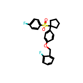 O=S(=O)(c1ccc(F)cc1)C1(c2ccc(OCc3ccccc3F)cc2)CCCC1